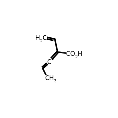 C=CC(=C=CC)C(=O)O